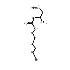 CCCCCCCCC(C)OC(=O)OCCCCCBr